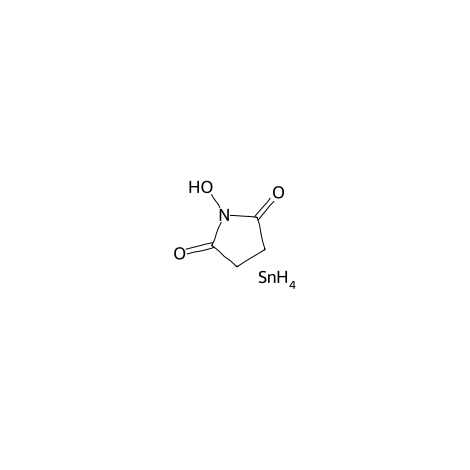 O=C1CCC(=O)N1O.[SnH4]